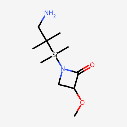 COC1CN([Si](C)(C)C(C)(C)CN)C1=O